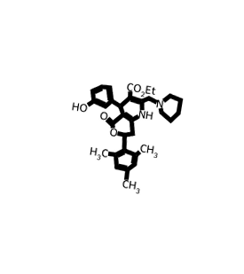 CCOC(=O)C1=C(CN2CCCCC2)NC2=C(C(=O)OC(c3c(C)cc(C)cc3C)C2)C1c1cccc(O)c1